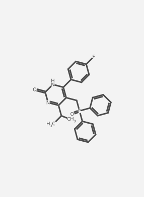 CC(C)c1nc(=O)[nH]c(-c2ccc(F)cc2)c1CP(=O)(c1ccccc1)c1ccccc1